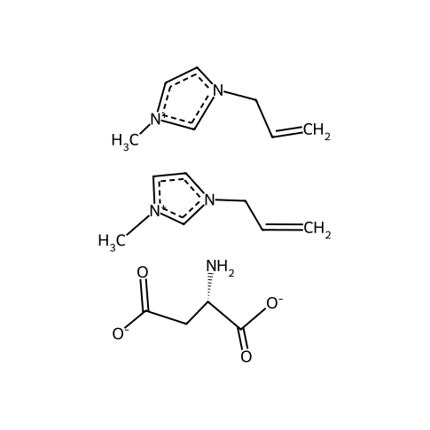 C=CCn1cc[n+](C)c1.C=CCn1cc[n+](C)c1.N[C@@H](CC(=O)[O-])C(=O)[O-]